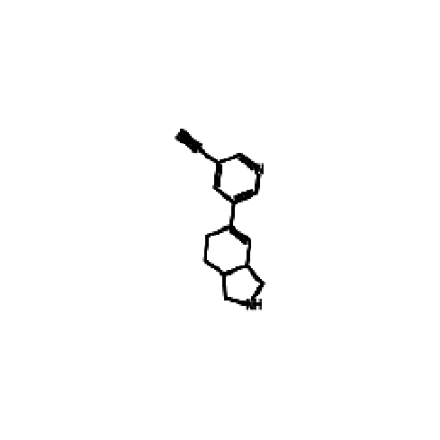 C#Cc1cncc(C2=CC3CNCC3CC2)c1